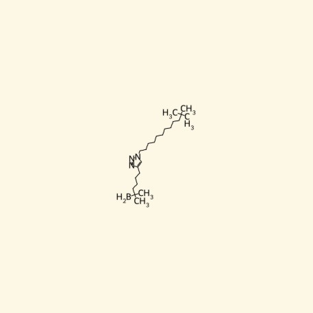 BC(C)(C)CCCCc1cn(CCCCCCCCCCC(C)(C)C)nn1